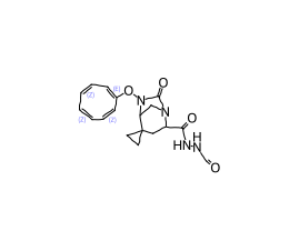 O=CNNC(=O)C1CC2(CC2)C2CN1C(=O)N2OC1=C/C=C\C=C/C=C\1